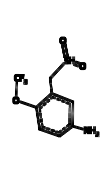 Nc1ccc(OC(F)(F)F)c(C[SH](=O)=O)c1